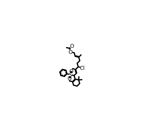 CC(=O)OCC=C(C)CCC(Cl)C(C)=CC(C1=C(C)CCCC1(C)C)S(=O)(=O)c1ccccc1